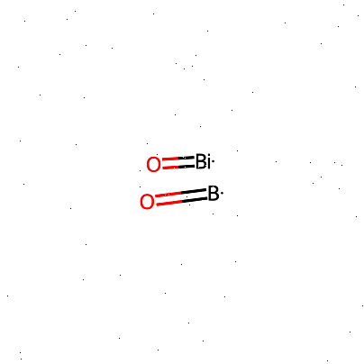 [B]=O.[O]=[Bi]